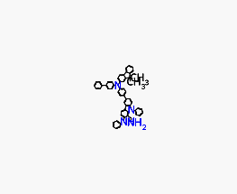 CC1(C)c2ccccc2-c2ccc(N(c3ccc(-c4ccccc4)cc3)c3ccc(-c4ccc5c(c4)c4ccc(Nc6ccccc6)c(CN)c4n5-c4ccccc4)cc3)cc21